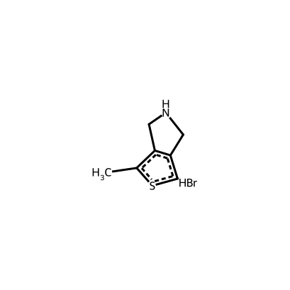 Br.Cc1scc2c1CNC2